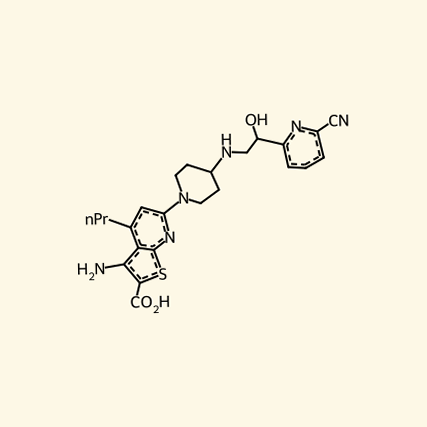 CCCc1cc(N2CCC(NCC(O)c3cccc(C#N)n3)CC2)nc2sc(C(=O)O)c(N)c12